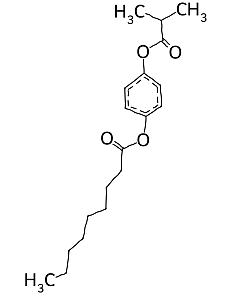 CCCCCCCCC(=O)Oc1ccc(OC(=O)C(C)C)cc1